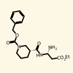 CCOC(=O)C[C@@H](N)NC(=O)[C@@H]1CCCN(C(=O)OCc2ccccc2)C1